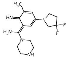 CC1=CC(N2CCC(F)(F)C2)=C/C(=C(/N)N2CCNCC2)C1=N